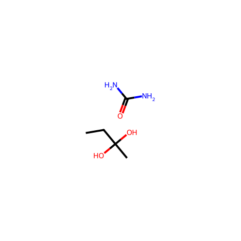 CCC(C)(O)O.NC(N)=O